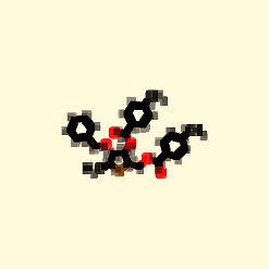 Cc1ccc(C(=O)OC[C@H]2SC(C)[C@H](OCc3ccccc3)[C@H]2OC(=O)c2ccc(C)cc2)cc1